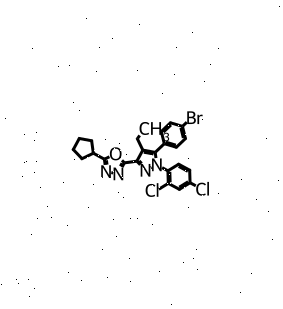 CCc1c(-c2nnc(C3CCCC3)o2)nn(-c2ccc(Cl)cc2Cl)c1-c1ccc(Br)cc1